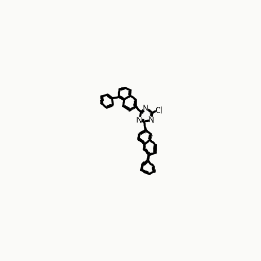 Clc1nc(-c2ccc3cc(-c4ccccc4)ccc3c2)nc(-c2ccc3c(-c4ccccc4)cccc3c2)n1